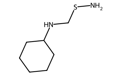 NSCNC1CCCCC1